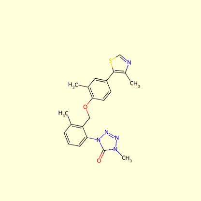 Cc1cc(-c2scnc2C)ccc1OCc1c(C)cccc1-n1nnn(C)c1=O